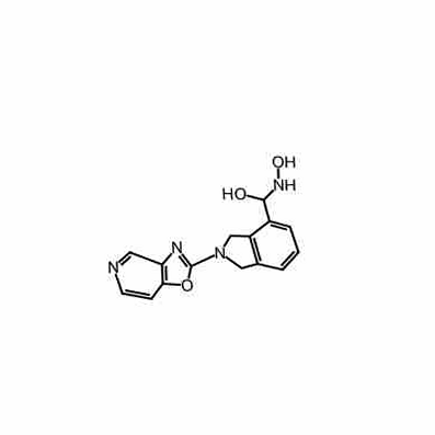 ONC(O)c1cccc2c1CN(c1nc3cnccc3o1)C2